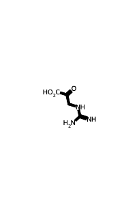 N=C(N)NCC(=O)C(=O)O